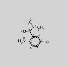 CN(C)C(=O)c1cc(I)ccc1N